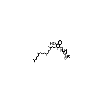 CC(=CCc1c(C)c(N=Nc2ncc([N+](=O)[O-])s2)c2ccccc2c1O)CCCC(C)CCCC(C)CCCC(C)C